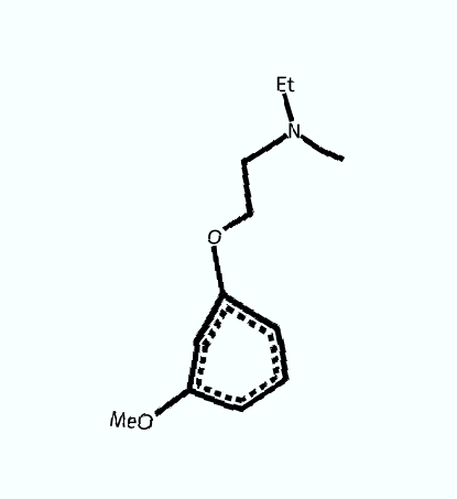 CCN(C)CCOc1cccc(OC)c1